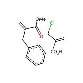 C=C(CCl)C(=O)O.C=C(Cc1ccccc1)C(=O)OC